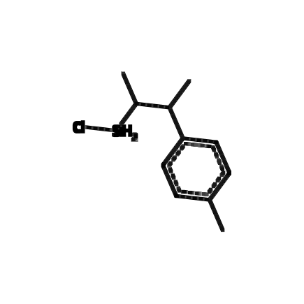 Cc1ccc(C(C)C(C)[SiH2]Cl)cc1